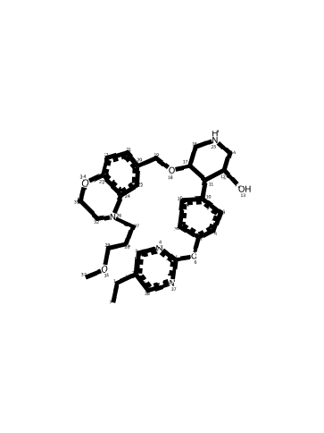 CCc1cnc(Oc2ccc(C3C(O)CNCC3OCc3ccc4c(c3)N(CCCOC)CCO4)cc2)nc1